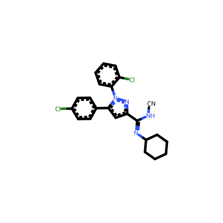 N#CNC(=NC1CCCCC1)c1cc(-c2ccc(Cl)cc2)n(-c2ccccc2Cl)n1